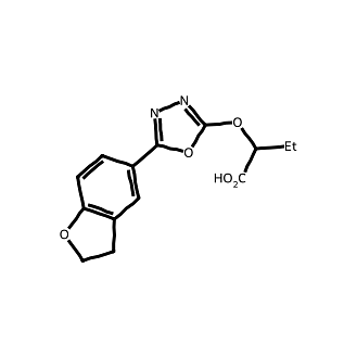 CCC(Oc1nnc(-c2ccc3c(c2)CCO3)o1)C(=O)O